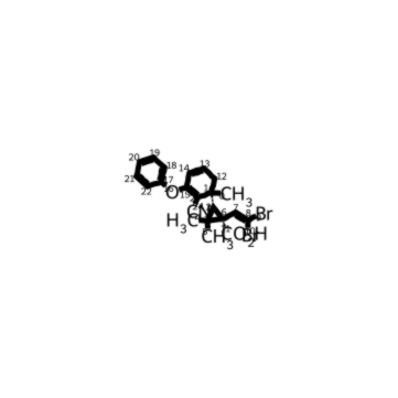 CC1([C@H]2C(C)(C)[C@@]2(C=C(Br)Br)C(=O)O)CC=CC(Oc2ccccc2)=C1C#N